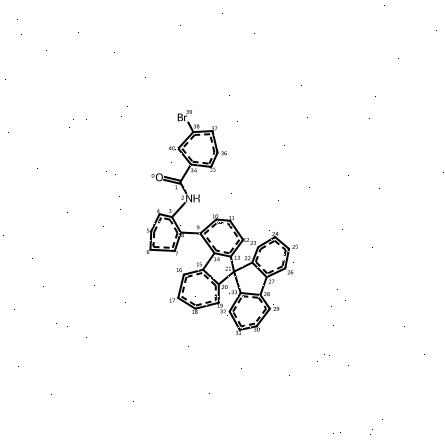 O=C(Nc1ccccc1-c1cccc2c1-c1ccccc1C21c2ccccc2-c2ccccc21)c1cccc(Br)c1